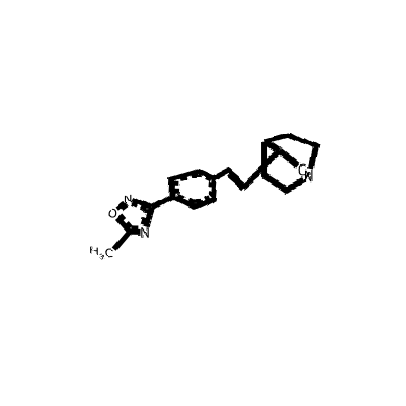 Cc1nc(-c2ccc(C=CC3CN4CCC3CC4)cc2)no1